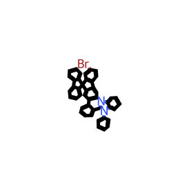 Brc1ccc2c(c1)C1(c3ccccc3-c3ccccc31)c1cc(-c3ccccc3-c3nc4ccccc4n3-c3ccccc3)ccc1-2